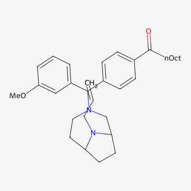 C=CCN1C2CCC1CN(C(c1ccc(C(=O)CCCCCCCC)cc1)c1cccc(OC)c1)CC2